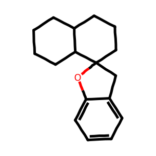 c1ccc2c(c1)CC1(CCCC3CCCCC31)O2